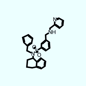 O=S(=O)(c1cccc(CNCc2ccccn2)c1)N(Cc1ccccc1)C1CCCc2ccccc21